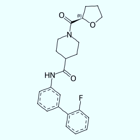 O=C(Nc1cccc(-c2ccccc2F)c1)C1CCN(C(=O)[C@H]2CCCO2)CC1